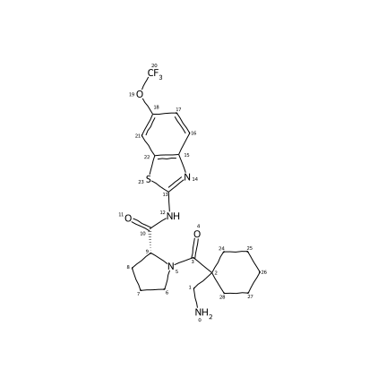 NCC1(C(=O)N2CCC[C@@H]2C(=O)Nc2nc3ccc(OC(F)(F)F)cc3s2)CCCCC1